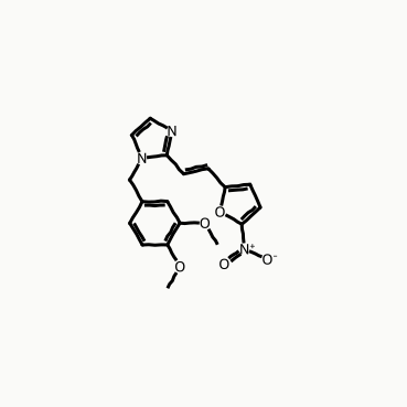 COc1ccc(Cn2ccnc2/C=C/c2ccc([N+](=O)[O-])o2)cc1OC